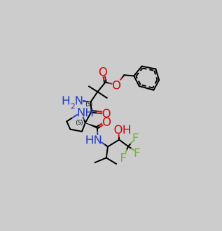 CC(C)C(NC(=O)[C@@]1(C(=O)[C@@H](N)C(C)(C)C(=O)OCc2ccccc2)CCCN1)C(O)C(F)(F)F